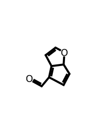 O=CC1=C2C=COC2C=C1